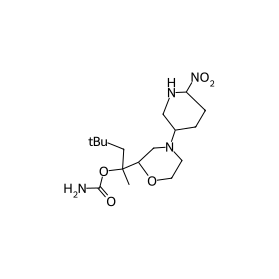 CC(C)(C)CC(C)(OC(N)=O)C1CN(C2CCC([N+](=O)[O-])NC2)CCO1